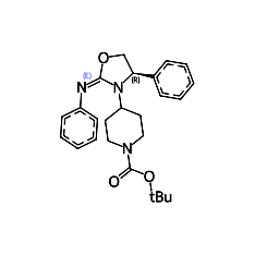 CC(C)(C)OC(=O)N1CCC(N2/C(=N\c3ccccc3)OC[C@H]2c2ccccc2)CC1